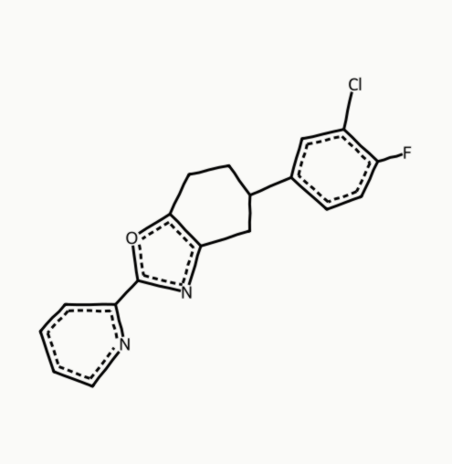 Fc1ccc(C2CCc3oc(-c4ccccn4)nc3C2)cc1Cl